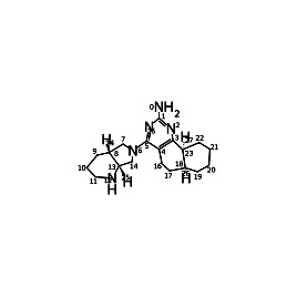 Nc1nc2c(c(N3C[C@H]4CCCN[C@H]4C3)n1)CC[C@@H]1CCCC[C@H]21